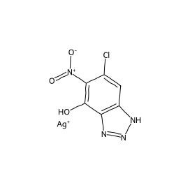 O=[N+]([O-])c1c(Cl)cc2[nH]nnc2c1O.[Ag+]